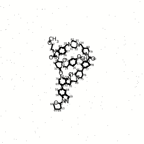 COCCn1c(=O)n(C2CCC(=O)N(Cc3ccc(OC)cc3)C2=O)c2ccc(CN3CCN(CC4CCN(C(=O)c5ccc(C6CCN(Cc7cc8c(-c9ccc%10c(cnn%10C%10CCCCO%10)c9)ccnc8n7C)CC6)cc5)CC4)CC3)cc21